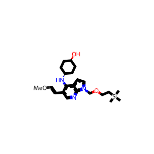 COC=Cc1cnc2c(ccn2COCC[Si](C)(C)C)c1N[C@H]1CC[C@H](O)CC1